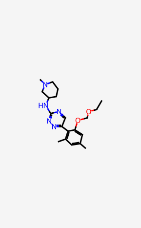 CCOCOc1cc(C)cc(C)c1-c1cnc(NC2CCCN(C)C2)nn1